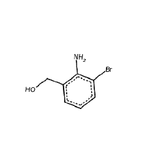 Nc1c(Br)cccc1CO